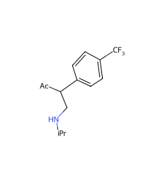 CC(=O)C(CNC(C)C)c1ccc(C(F)(F)F)cc1